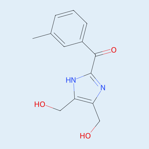 Cc1cccc(C(=O)c2nc(CO)c(CO)[nH]2)c1